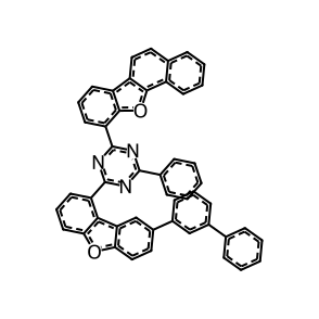 c1ccc(-c2cccc(-c3ccc4oc5cccc(-c6nc(-c7ccccc7)nc(-c7cccc8c7oc7c9ccccc9ccc87)n6)c5c4c3)c2)cc1